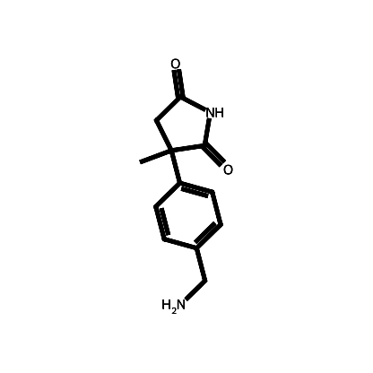 CC1(c2ccc(CN)cc2)CC(=O)NC1=O